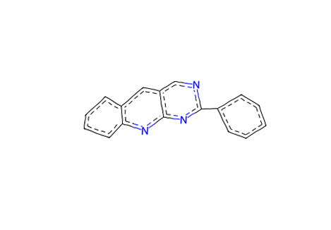 c1ccc(-c2ncc3cc4ccccc4nc3n2)cc1